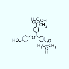 CC(C)(O)C(=O)c1ccc(C(OCC2CCC(CO)CC2)c2ccc(C(=O)C(C)(C)O)cc2)cc1